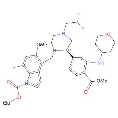 COC(=O)c1ccc([C@@H]2CN(CC(F)F)CCN2Cc2c(OC)cc(C)c3c2ccn3C(=O)OC(C)(C)C)cc1NC1CCOCC1